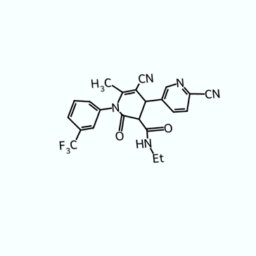 CCNC(=O)C1C(=O)N(c2cccc(C(F)(F)F)c2)C(C)=C(C#N)C1c1ccc(C#N)nc1